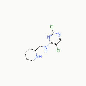 Clc1ncc(Cl)c(NCC2CCCCN2)n1